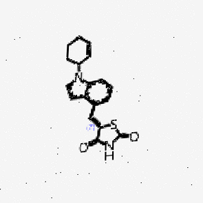 O=C1NC(=O)/C(=C/c2cccc3c2ccn3C2C=CCCC2)S1